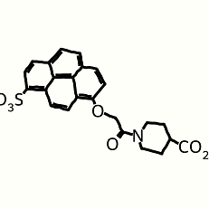 CCOC(=O)C1CCN(C(=O)COc2ccc3ccc4ccc(S(=O)(=O)O)c5ccc2c3c45)CC1